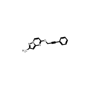 Cc1cc2nc(OCC#Cc3ccccc3)ccn2n1